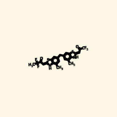 Cc1cc(Cc2cc(C)c3c(c2)S/C(=C\C(=O)C(F)(F)F)N3)cc2c1N/C(=C/C(=O)C(C)(F)F)S2